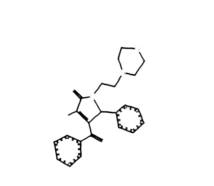 O=C(C1=C(O)C(=O)N(CCN2CCNCC2)C1c1ccccc1)c1ccccc1